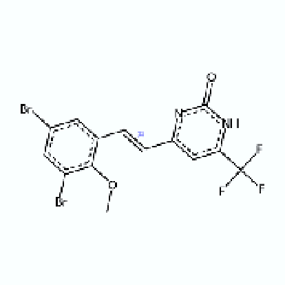 COc1c(Br)cc(Br)cc1/C=C/c1cc(C(F)(F)F)[nH]c(=O)n1